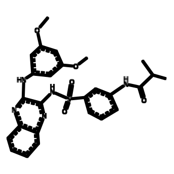 COc1cc(Nc2nc3ccccc3nc2NS(=O)(=O)c2cccc(NC(=O)C(C)C)c2)cc(OC)c1